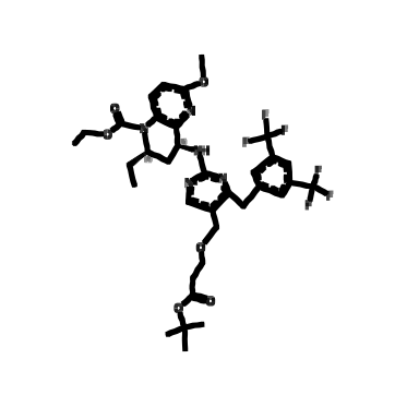 CCOC(=O)N1c2ccc(OC)nc2[C@@H](Nc2ncc(COCCC(=O)OC(C)(C)C)c(Cc3cc(C(F)(F)F)cc(C(F)(F)F)c3)n2)C[C@H]1CC